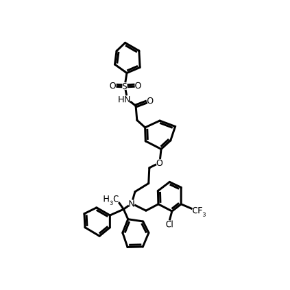 CC(c1ccccc1)(c1ccccc1)N(CCCOc1cccc(CC(=O)NS(=O)(=O)c2ccccc2)c1)Cc1cccc(C(F)(F)F)c1Cl